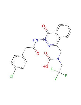 O=C(Cc1ccc(Cl)cc1)Nn1nc(CN(CC(F)(F)F)C(=O)O)c2ccccc2c1=O